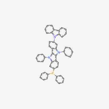 c1ccc(-n2c3cc(-n4c5ccccc5c5ccccc54)ccc3c3c2c2ccc(P(c4ccccc4)c4ccccc4)cc2n3-c2ccccc2)cc1